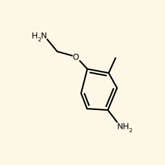 Cc1cc(N)ccc1OCN